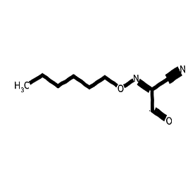 CCCCCCON=C([C]=O)C#N